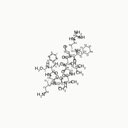 CCN[C@@H](Cc1ccccc1)C(=O)N[C@@H](CCCCN)C(=O)N[C@@H](C)C(=O)N[C@@H](C)C(=O)N[C@@H](CC(C)C)C(=O)N(C)[C@@H](C)C(=O)N(C(=O)[C@@H](N)CC1CCCCC1)[C@H]([C]=O)CCCNC(=N)N